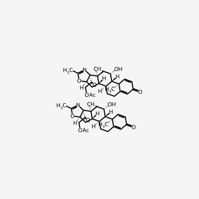 CC(=O)OCC(=O)[C@@]12N=C(C)O[C@@H]1C[C@H]1[C@@H]3CCC4=CC(=O)C=C[C@]4(C)[C@H]3[C@@H](O)C[C@@]12C.CC(=O)OCC(=O)[C@@]12N=C(C)O[C@@H]1C[C@H]1[C@@H]3CCC4=CC(=O)C=C[C@]4(C)[C@H]3[C@@H](O)C[C@@]12C